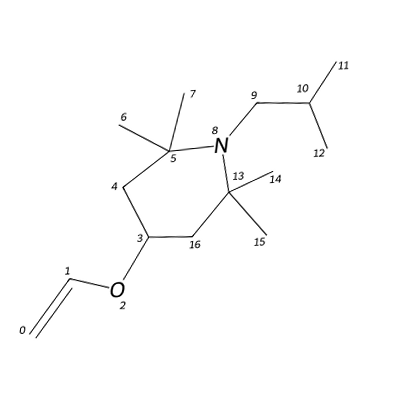 C=COC1CC(C)(C)N(CC(C)C)C(C)(C)C1